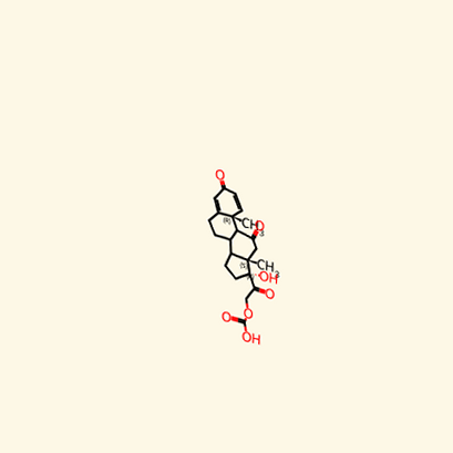 C[C@]12C=CC(=O)C=C1CCC1C2C(=O)C[C@@]2(C)C1CC[C@]2(O)C(=O)COC(=O)O